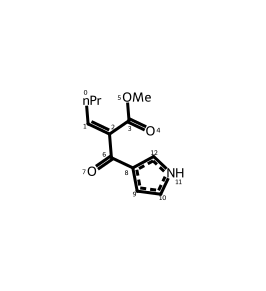 CCC/C=C(\C(=O)OC)C(=O)c1cc[nH]c1